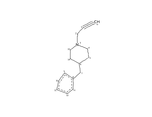 C#CCN1CCC(Cc2ccccc2)CC1